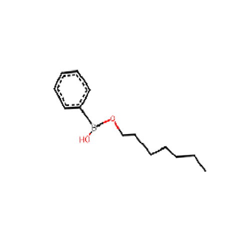 CCCCCCCOB(O)c1ccccc1